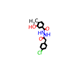 Cc1ccc(C(=O)NNC(=O)Cc2ccc(Cl)cc2)cc1O